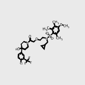 COc1cc(C)c(S(=O)(=O)N(CCOCC(=O)N2CCC(O)(c3ccc(Cl)c(C(F)(F)F)c3)CC2)CC2CC2)c(C)c1C